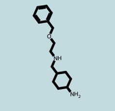 NC1CCC(CNCCOCc2ccccc2)CC1